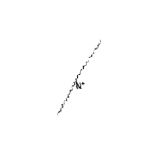 CCCCCCCCCCCCCCCCC=CCC(C=CCCCCCCCCCCCCCCCC)C[N+](C)(C)C